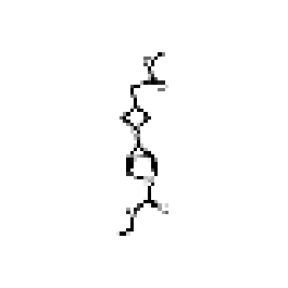 CCOC(=O)N1C=C2CC1CC2N1CC(CC(=O)OC)C1